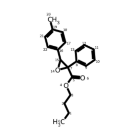 CCCCOC(=O)C1(c2ccccc2)OC1c1ccc(C)cc1